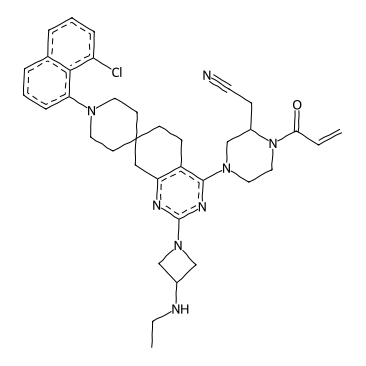 C=CC(=O)N1CCN(c2nc(N3CC(NCC)C3)nc3c2CCC2(CCN(c4cccc5cccc(Cl)c45)CC2)C3)CC1CC#N